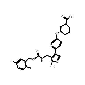 Cn1ncc(-c2ccc(O[C@H]3CCCC(C(=O)O)C3)cn2)c1CNC(=O)OCc1cc(F)ccc1F